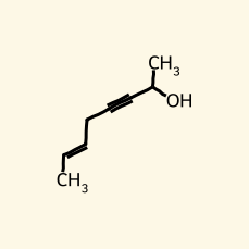 C/C=C/CC#CC(C)O